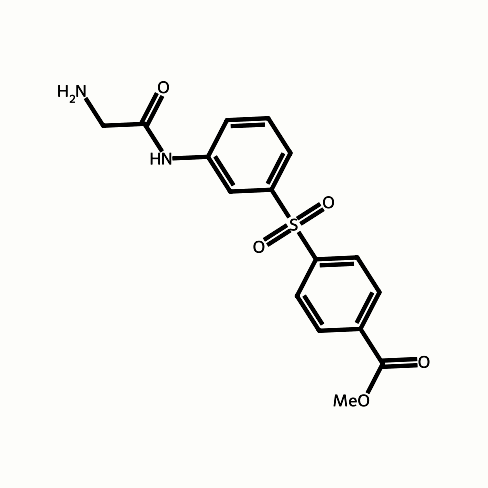 COC(=O)c1ccc(S(=O)(=O)c2cccc(NC(=O)CN)c2)cc1